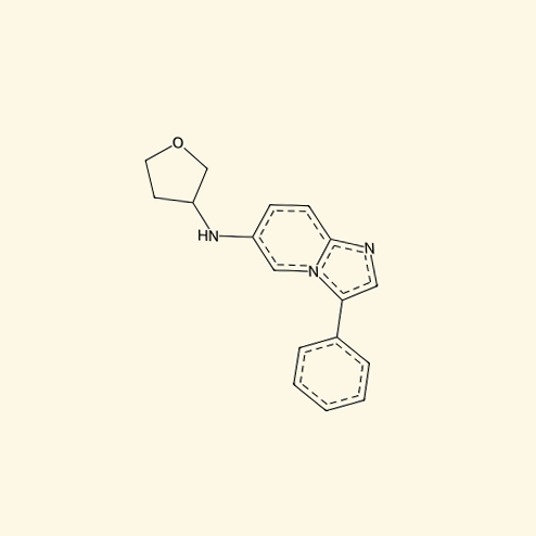 c1ccc(-c2cnc3ccc(NC4CCOC4)cn23)cc1